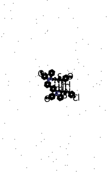 COc1ccc(NC(=S)NCC/C(=C(/c2ccc(OC)cc2)c2cccc(-c3ccc(/C(CCNC(=S)Nc4ccc(Cl)cc4)=C(/c4ccccc4)c4ccc(OC)cc4)cc3)c2)c2ccccc2)cc1